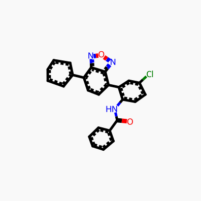 O=C(Nc1ccc(Cl)cc1-c1ccc(-c2ccccc2)c2nonc12)c1ccccc1